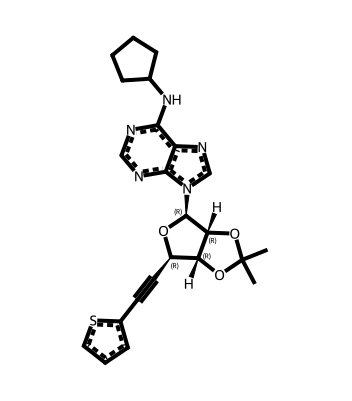 CC1(C)O[C@@H]2[C@H](O1)[C@@H](C#Cc1cccs1)O[C@H]2n1cnc2c(NC3CCCC3)ncnc21